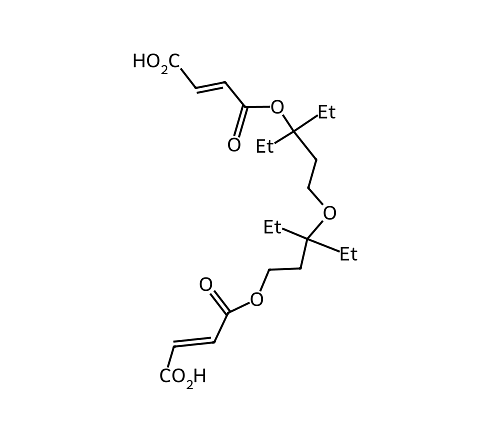 CCC(CC)(CCOC(=O)/C=C/C(=O)O)OCCC(CC)(CC)OC(=O)/C=C/C(=O)O